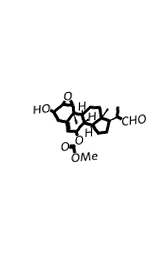 COC(=O)OC1C=C2CC(O)C3OC3[C@]2(C)[C@H]2CC[C@]3(C)[C@@H](C(C)C=O)CC[C@H]3[C@H]12